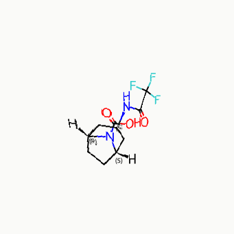 O=C(O)N1[C@@H]2CC[C@H]1C[C@H](NC(=O)C(F)(F)F)C2